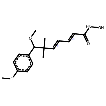 COc1ccc(C(OC)C(C)(C)/C=C/C=C/C(=O)NO)cc1